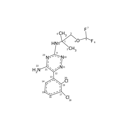 CC(C)(COC(F)F)Nc1nnc(-c2cccc(Cl)c2Cl)c(N)n1